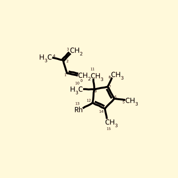 C=CC(=C)C.CC1=C(C)C(C)(C)[C]([Rh])=C1C